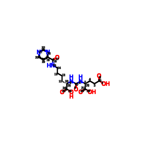 O=C(O)CC[C@H](NC(=O)N[C@@H](CCCCNC(=O)c1ccncn1)C(=O)O)C(=O)O